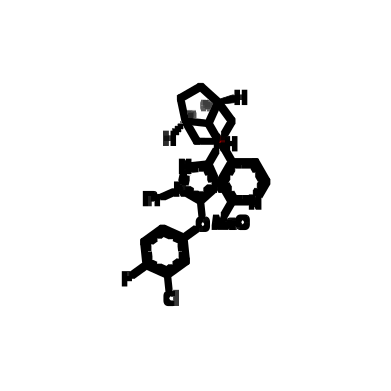 COc1cc(N2C[C@H]3CC[C@H](C2)C3Nc2nc(Oc3ccc(F)c(Cl)c3)n(C(C)C)n2)ccn1